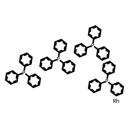 [Rh].c1ccc(P(c2ccccc2)c2ccccc2)cc1.c1ccc(P(c2ccccc2)c2ccccc2)cc1.c1ccc(P(c2ccccc2)c2ccccc2)cc1.c1ccc(P(c2ccccc2)c2ccccc2)cc1